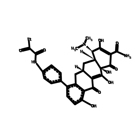 CCC(=O)C(=O)Nc1ccc(-c2ccc(O)c3c2C[C@H]2C[C@H]4[C@H](N(C)C)C(O)=C(C(N)=O)C(=O)[C@@]4(O)C(O)=C2C3=O)cc1